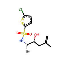 C=C(C)C[C@@H](O)[C@@H](NS(=O)(=O)c1ccc(Cl)s1)[C@@H](C)CC